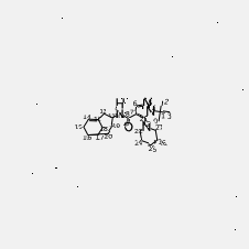 CC(C)(C)n1ncc(C(=O)NC2CC3=CCC4CC3C2C4)c1N1CCCCC1